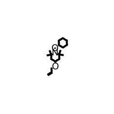 C=CCOC1CC(C)(C)N(OC2CCCCC2)C(C)(C)C1